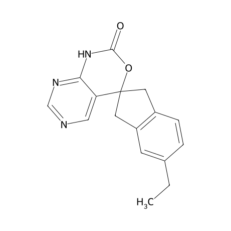 CCc1ccc2c(c1)CC1(C2)OC(=O)Nc2ncncc21